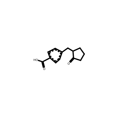 O=C(O)c1ccc(CC2CCCC2=O)cc1